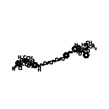 CN[C@@H](C)C(=O)NC(C(=O)N1CC[C@@H]2CCN(CCc3ccc(OCCOCCOCCOCCNc4ccc(C(=O)N[C@H]5C(C)(C)[C@H](Oc6ccc(C#N)c(Cl)c6)C5(C)C)cc4)cc3)C[C@@H]21)C1CCCCC1